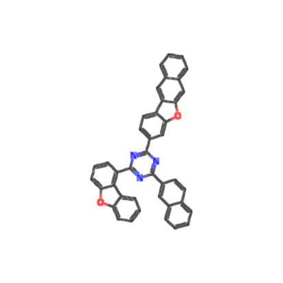 c1ccc2cc(-c3nc(-c4ccc5c(c4)oc4cc6ccccc6cc45)nc(-c4cccc5oc6ccccc6c45)n3)ccc2c1